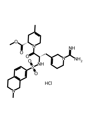 COC(=O)[C@@H]1CC(C)=CCN1C(=O)[C@H](CC1=CCCN(C(=N)N)C1)NS(=O)(=O)c1ccc2c(c1)CN(C)CC2.Cl